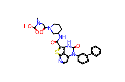 CN(CC(=O)N1CCCC(NC(=O)c2sc3nccc4c3c2NC(=O)N4c2cccc(-c3ccccc3)c2)C1)C(=O)O